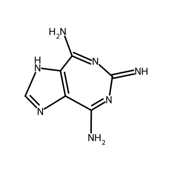 N=c1nc(N)c2nc[nH]c2c(N)n1